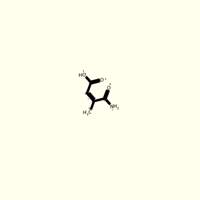 C/C(=C/C(=O)O)C(N)=O